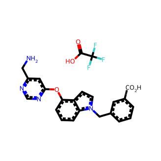 NCc1cc(Oc2cccc3c2ccn3Cc2cccc(C(=O)O)c2)ncn1.O=C(O)C(F)(F)F